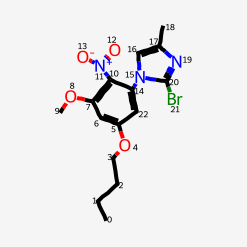 CCCCOc1cc(OC)c([N+](=O)[O-])c(-n2cc(C)nc2Br)c1